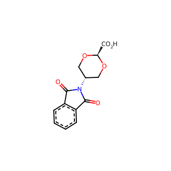 O=C1c2ccccc2C(=O)N1[C@H]1CO[C@H](C(=O)O)OC1